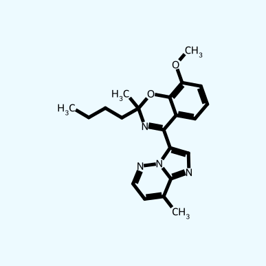 CCCCC1(C)N=C(c2cnc3c(C)ccnn23)c2cccc(OC)c2O1